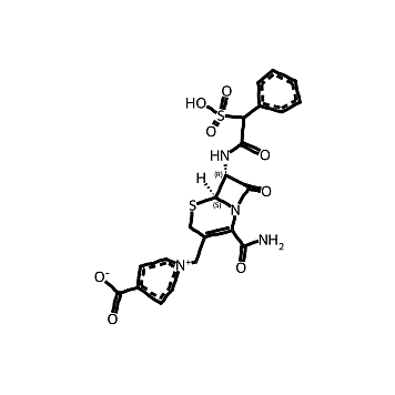 NC(=O)C1=C(C[n+]2ccc(C(=O)[O-])cc2)CS[C@H]2[C@H](NC(=O)C(c3ccccc3)S(=O)(=O)O)C(=O)N12